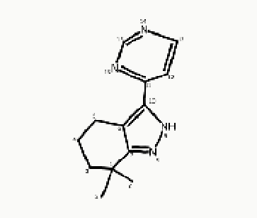 CC1(C)CCCc2c1n[nH]c2-c1ccncn1